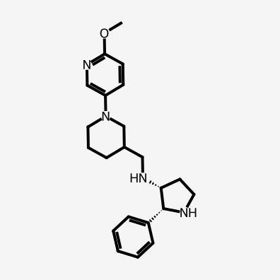 COc1ccc(N2CCCC(CN[C@@H]3CCN[C@@H]3c3ccccc3)C2)cn1